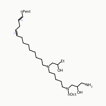 CCCCC/C=C/C/C=C\CCCCCCCCN(CCCCCN(CCCCCCCC)CC(O)CN)CC(O)CC